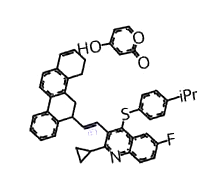 CC(C)c1ccc(Sc2c(/C=C/C3Cc4c(ccc5c4CCC=C5)-c4ccccc43)c(C3CC3)nc3ccc(F)cc23)cc1.O=c1cc(O)cco1